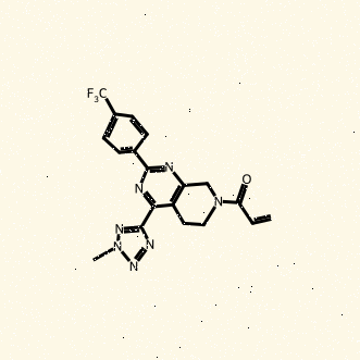 C=CC(=O)N1CCc2c(nc(-c3ccc(C(F)(F)F)cc3)nc2-c2nnn(C)n2)C1